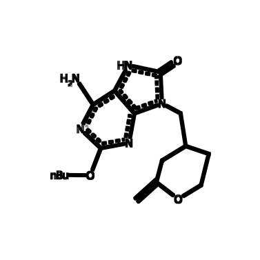 C=C1CC(Cn2c(=O)[nH]c3c(N)nc(OCCCC)nc32)CCO1